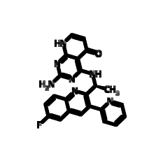 C[C@H](Nc1nc(N)nc2[nH]ccc(=O)c12)c1nc2ccc(F)cc2cc1-c1ccccn1